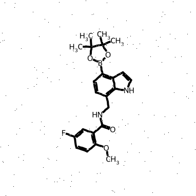 COc1ccc(F)cc1C(=O)NCc1ccc(B2OC(C)(C)C(C)(C)O2)c2cc[nH]c12